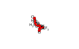 CC(C)(CNC(=O)C(=O)NCc1ccc(Cl)cc1)CNC(=O)c1ccc(Nc2nc(NC3(c4ccc(Cl)cc4)CC3)nc(OCC(F)(F)F)n2)cc1